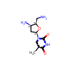 Cc1cn([C@H]2C[C@@H](N)[C@@H](CN)O2)c(=O)[nH]c1=O